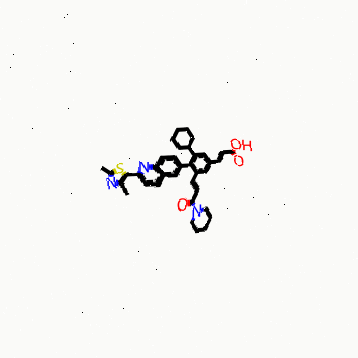 Cc1nc(C)c(-c2ccc3cc(-c4c(/C=C/C(=O)N5CCCCC5)cc(/C=C/C(=O)O)cc4C4CCCCC4)ccc3n2)s1